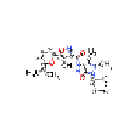 Cc1c(C(=O)Nc2c(C)n(C)n(C3CCCCC3)c2=O)noc1C1CC=CC(C(C)C)O1